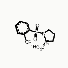 O=C(O)[C@@H]1CCCN1S(=O)(=O)c1ccccc1C(F)(F)F